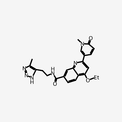 CCOc1cc(-c2ccc(=O)n(C)c2)nc2cc(C(=O)NCCc3[nH]nnc3C)ccc12